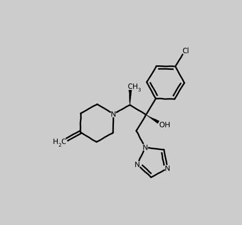 C=C1CCN([C@@H](C)[C@@](O)(Cn2cncn2)c2ccc(Cl)cc2)CC1